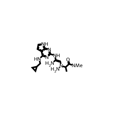 CNC(=O)C(C)N(N)/C=C(\N)Nc1nc(NCC2CC2)c2cc[nH]c2n1